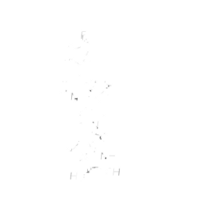 Cc1[nH]c2c(C(=O)N3CC(CN4CCC(c5ccc(F)cc5)CC4)C(c4ccsc4)C3)cccc2c1C